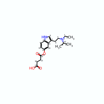 CCN(CCc1c[nH]c2ccc(OC(=O)CCC(=O)O)cc12)C(C)C